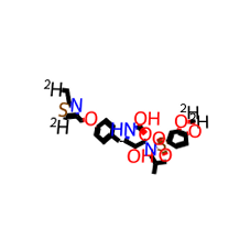 [2H]Cc1nc(COc2ccc(C[C@H](NC(=O)O)[C@H](O)CN(CC(C)C)S(=O)(=O)c3ccc4c(c3)OC([2H])([2H])O4)cc2)c([2H])s1